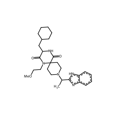 COCCN1C(=O)C(CC2CCCCC2)NC(=O)C12CCN(C(C)c1nc3ccccc3[nH]1)CC2